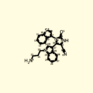 N#Cc1[nH]c(=O)n(-c2csc3ccccc23)c1-c1cn(CCCN)c2ccccc12